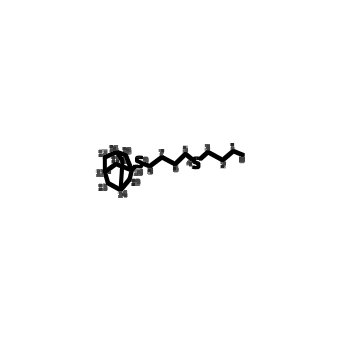 CCCCSCCCCSC12C[C]3CC(CC(C3)C1)C2